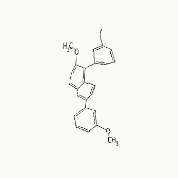 COc1cccc(-c2ccc3c(-c4cccc(I)c4)c(OC)ccc3c2)c1